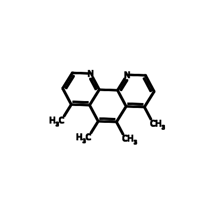 Cc1ccnc2c1c(C)c(C)c1c(C)ccnc12